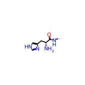 [CH2]NC(=O)[C@@H](N)Cc1c[nH]cn1